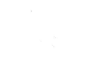 N#Cc1cc(Br)ccc1-n1ccc(C2CC2)n1